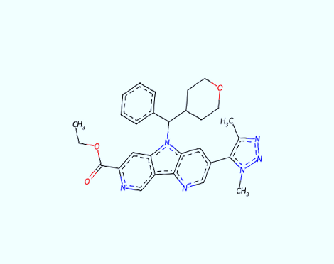 CCOC(=O)c1cc2c(cn1)c1ncc(-c3c(C)nnn3C)cc1n2C(c1ccccc1)C1CCOCC1